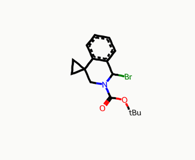 CC(C)(C)OC(=O)N1CC2(CC2)c2ccccc2C1Br